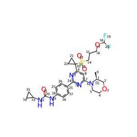 C[C@H]1COCCN1c1cc(C2(S(=O)(=O)CCCOC(F)F)CC2)nc(-c2ccc(NC(=O)NC3CC3)cc2)n1